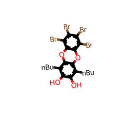 CCCCc1c(O)c(O)c(CCCC)c2c1Oc1c(Br)c(Br)c(Br)c(Br)c1O2